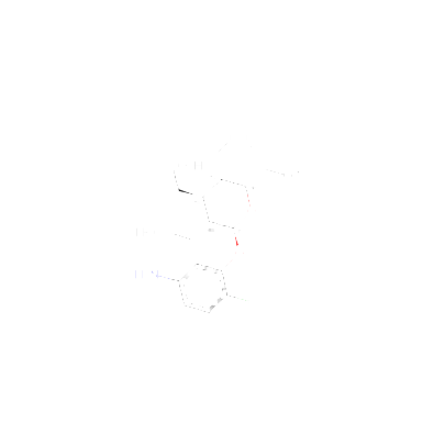 CC(=O)OC[C@@H]1O[C@@H](Oc2cc(N)ccc2Cl)[C@H](CC(=O)O)[C@@H](CC(=O)O)[C@@H]1CC(=O)O